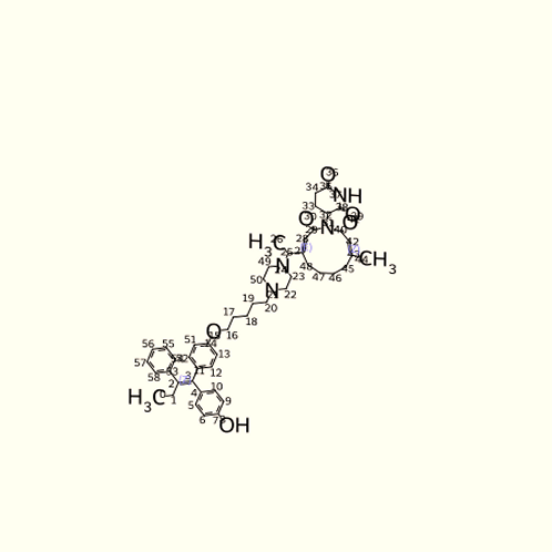 CC/C(=C(\c1ccc(O)cc1)c1ccc(OCCCCCN2CCN(C(C)/C3=C/C(=O)N(C4CCC(=O)NC4=O)C(=O)/C=C(/C)CCCC3)CC2)cc1)c1ccccc1